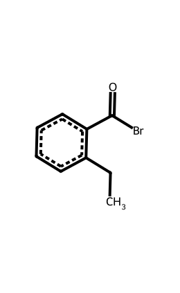 CCc1ccccc1C(=O)Br